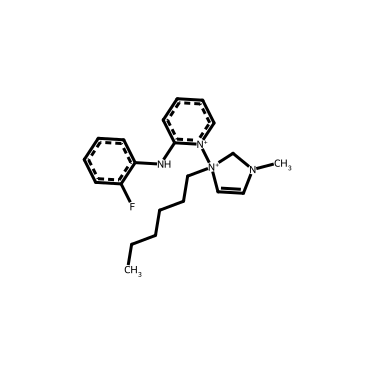 CCCCCC[N+]1([n+]2ccccc2Nc2ccccc2F)C=CN(C)C1